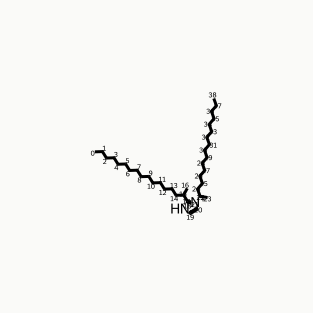 CCCCCCCCCCCCCCCC(C)c1[nH]cc[n+]1C(C)CCCCCCCCCCCCCCC